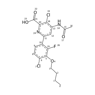 CCCCOc1c(Cl)ccc(-c2cc(NC(C)=O)c(Cl)c(C(=O)O)n2)c1F